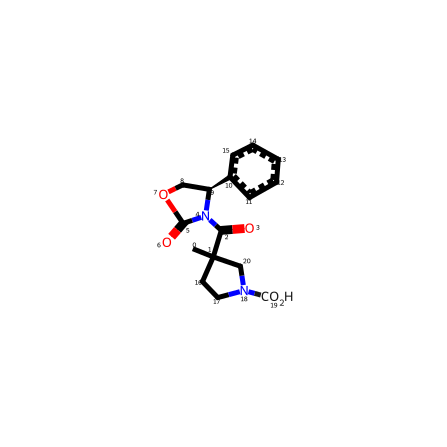 CC1(C(=O)N2C(=O)OC[C@H]2c2ccccc2)CCN(C(=O)O)C1